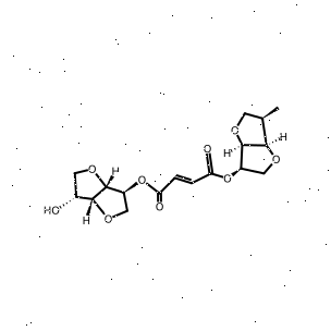 C[C@@H]1CO[C@H]2[C@@H]1OC[C@H]2OC(=O)/C=C/C(=O)O[C@H]1CO[C@H]2[C@@H]1OC[C@H]2O